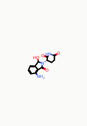 Nc1cccc2c1C(=O)N([C@H]1CCC(=O)NC1=O)C2O